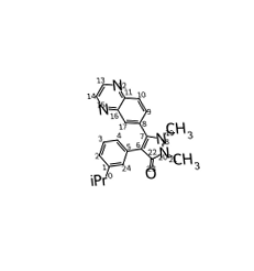 CC(C)c1cccc(-c2c(-c3ccc4nccnc4c3)n(C)n(C)c2=O)c1